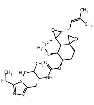 CNc1nnc(C[C@@H](NC(=O)O[C@@H]2CC[C@]3(CO3)[C@@H]([C@@]3(C)O[C@@H]3CC=C(C)C)[C@@H]2OC)C(C)C)s1